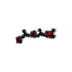 c1ccc(-c2cc(-c3ccc(-c4cccc5c4Sc4ccccc4C54c5ccccc5-c5c(-c6ccc(-c7nc(-c8ccccc8)cc(-c8ccc(-c9cccc%10c9Sc9ccccc9C%109c%10ccccc%10-c%10ccccc%109)s8)n7)cc6)cccc54)o3)nc(-c3ccc(-c4cccc5c4-c4ccccc4C54c5ccccc5Sc5c(-c6ncccc6-c6cc(-c7ccccc7)nc(-c7ccccc7)n6)cccc54)cc3)n2)cc1